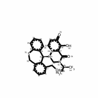 COCc1cccc2c1[C@H](N1CN([C@H](C)C(F)(F)F)C(=O)c3c(O)c(=O)ccn31)c1ccccc1SC2